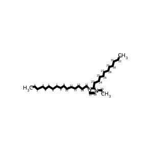 CCCCCCCCCCCCCCCCN1C=CN(CC)C1CCCCCCCCCCC